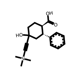 C[Si](C)(C)C#CC1(O)CC[C@@H](C(=O)O)[C@H](c2ccccc2)C1